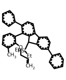 C=CCOc1c(C)cccc1-c1c(-c2ccccc2)ccc2c1C([SiH](CC)CC)c1cc(-c3ccccc3)ccc1-2